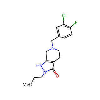 COCCn1[nH]c2c(c1=O)CCN(Cc1ccc(F)c(Cl)c1)C2